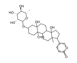 C[C@@H]1OC(OC2CCC3(C=O)C4CCC5(C)C(c6ccc(=O)oc6)CCC5(O)C4CCC3(O)C2)[C@H](O)[C@H](O)[C@H]1O